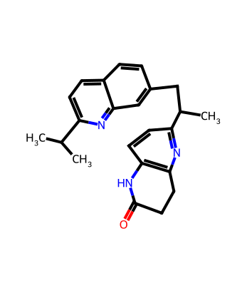 CC(C)c1ccc2ccc(CC(C)c3ccc4c(n3)CCC(=O)N4)cc2n1